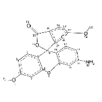 COc1ccc2c(c1)Oc1cc(N)ccc1C21OC(=O)c2ccc(OC)cc21